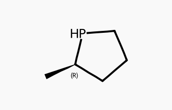 C[C@@H]1CCCP1